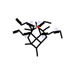 C=C/C=C\C(=C/C=C)C1(C(/C=C\C)=C/C=C\C)C2CC(C)N(C)C(C)(C)CC1(C)C2C